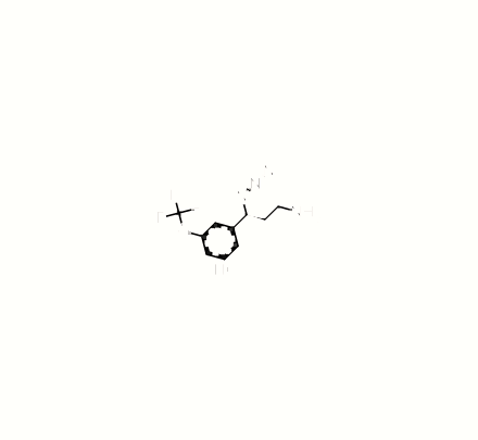 Cl.[N-]=[N+]=N[C@@H](CCN)c1cccc(OC(F)(F)F)c1